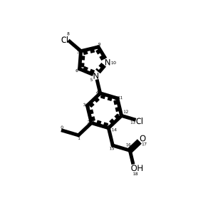 CCc1cc(-n2cc(Cl)cn2)cc(Cl)c1CC(=O)O